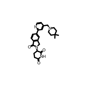 CC1(C)CCN(Cc2ccnc(-c3ccc4c(c3)CN(C3CCC(=O)NC3=O)C4=O)c2)CC1